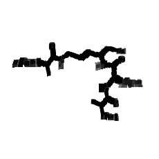 CCCCCC(C)C(=O)NCCCC(CC(C)=O)NC(=O)C(CCCCC)NC(=O)C(C)CCCCC